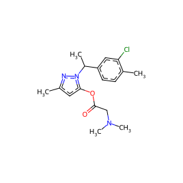 Cc1cc(OC(=O)CN(C)C)n(C(C)c2ccc(C)c(Cl)c2)n1